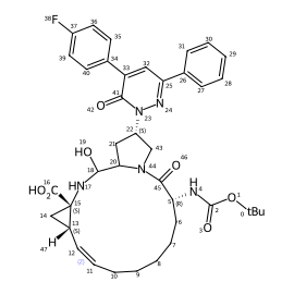 CC(C)(C)OC(=O)N[C@@H]1CCCCC/C=C\[C@@H]2C[C@]2(C(=O)O)NC(O)C2C[C@H](n3nc(-c4ccccc4)cc(-c4ccc(F)cc4)c3=O)CN2C1=O